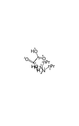 CCCN.CCCN.O=C(O)C(=O)O